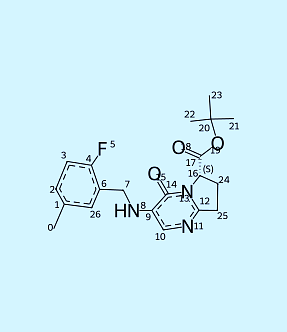 Cc1ccc(F)c(CNc2cnc3n(c2=O)[C@H](C(=O)OC(C)(C)C)CC3)c1